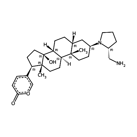 C[C@]12CC[C@H](N3CCC[C@@H]3CN)C[C@H]1CC[C@@H]1[C@@H]2CC[C@]2(C)[C@@H](c3ccc(=O)oc3)CC[C@]12O